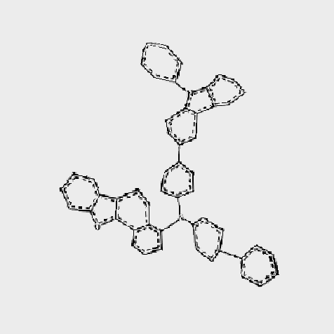 c1ccc(-c2ccc(N(c3ccc(-c4ccc5c(c4)c4ccccc4n5-c4ccccc4)cc3)c3cccc4c3ccc3c5ccccc5oc43)cc2)cc1